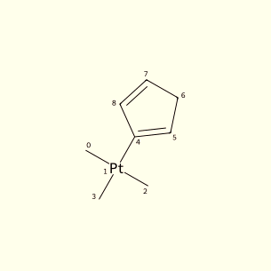 [CH3][Pt]([CH3])([CH3])[C]1=CCC=C1